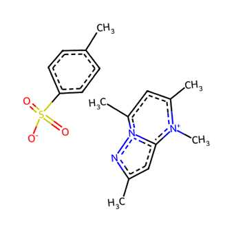 Cc1cc2n(n1)c(C)cc(C)[n+]2C.Cc1ccc(S(=O)(=O)[O-])cc1